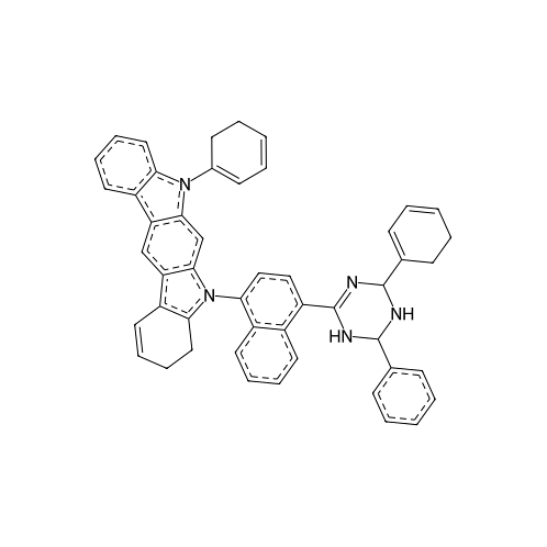 C1=CCCC(C2N=C(c3ccc(-n4c5c(c6cc7c8ccccc8n(C8=CC=CCC8)c7cc64)C=CCC5)c4ccccc34)NC(c3ccccc3)N2)=C1